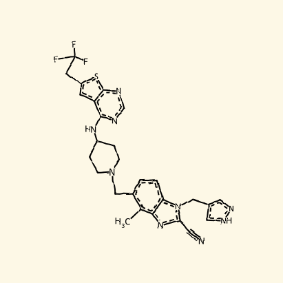 Cc1c(CN2CCC(Nc3ncnc4sc(CC(F)(F)F)cc34)CC2)ccc2c1nc(C#N)n2Cc1cn[nH]c1